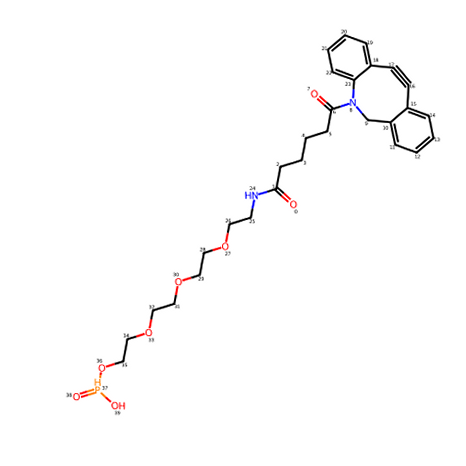 O=C(CCCCC(=O)N1Cc2ccccc2C#Cc2ccccc21)NCCOCCOCCOCCO[PH](=O)O